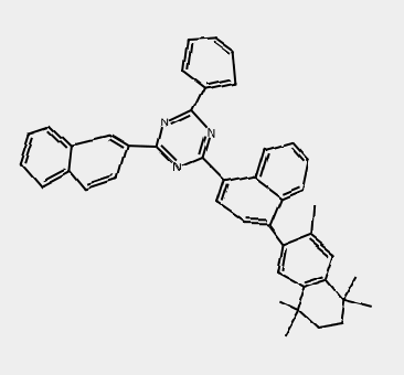 Cc1cc2c(cc1-c1ccc(-c3nc(-c4ccccc4)nc(-c4ccc5ccccc5c4)n3)c3ccccc13)C(C)(C)CCC2(C)C